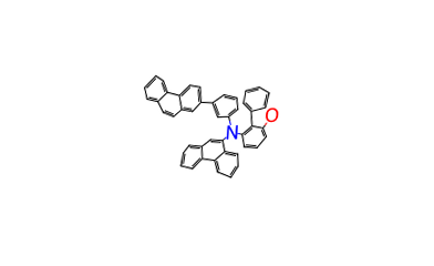 c1cc(-c2ccc3c(ccc4ccccc43)c2)cc(N(c2cc3ccccc3c3ccccc23)c2cccc3oc4ccccc4c23)c1